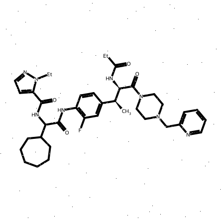 CCC(=O)N[C@@H](C(=O)N1CCN(Cc2ccccn2)CC1)[C@@H](C)c1ccc(NC(=O)C(NC(=O)c2ccnn2CC)C2CCCCCC2)c(F)c1